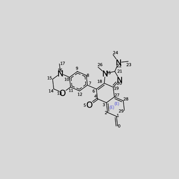 C=C/C=C1/C(=O)C(c2ccc3c(c2)OCCN3C)=C2C(=NC(N(C)C)N2C)/C1=C/C